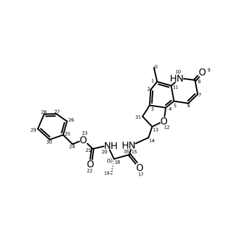 Cc1cc2c(c3ccc(=O)[nH]c13)OC(CNC(=O)[C@H](C)NC(=O)OCc1ccccc1)C2